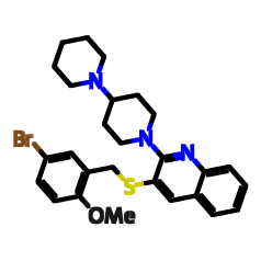 COc1ccc(Br)cc1CSc1cc2ccccc2nc1N1CCC(N2CCCCC2)CC1